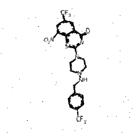 O=c1nc(N2CCN(NCc3ccc(C(F)(F)F)cc3)CC2)sc2c([N+](=O)[O-])cc(C(F)(F)F)cc12